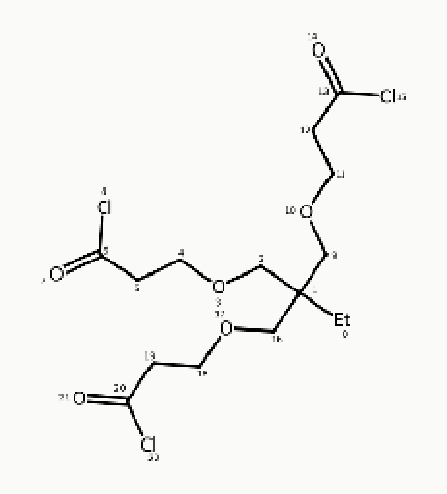 CCC(COCCC(=O)Cl)(COCCC(=O)Cl)COCCC(=O)Cl